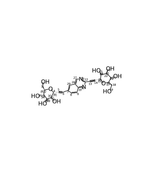 OC[C@H]1O[C@H](C#Cc2ccc3nc(C#C[C@H]4O[C@H](CO)[C@@H](O)[C@H](O)[C@@H]4O)ncc3c2)[C@@H](O)[C@@H](O)[C@@H]1O